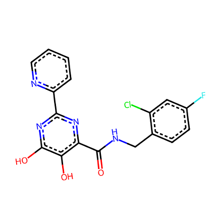 O=C(NCc1ccc(F)cc1Cl)c1nc(-c2ccccn2)nc(O)c1O